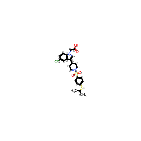 CC(C)Sc1ccc(S(=O)(=O)N2CCC(c3cn(CC(=O)O)c4ccc(Cl)cc34)CC2)cc1